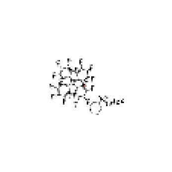 CCCCCC[N+](C)(C)C1CCCCC1.Fc1c(F)c(F)c([B-](c2c(F)c(F)c(F)c(F)c2F)(c2c(F)c(F)c(F)c(F)c2F)c2c(F)c(F)c(F)c(F)c2F)c(F)c1F